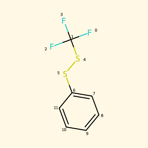 FC(F)(F)SSc1ccccc1